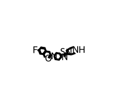 Cc1cc(F)ccc1CC(=O)N1CCc2nc(N3C4CCC3CNC4)sc2C1